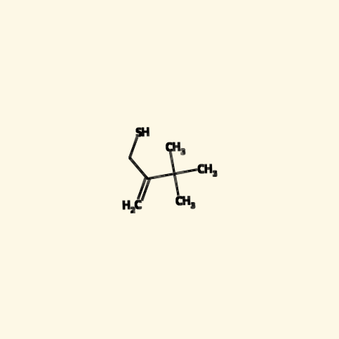 C=C(CS)C(C)(C)C